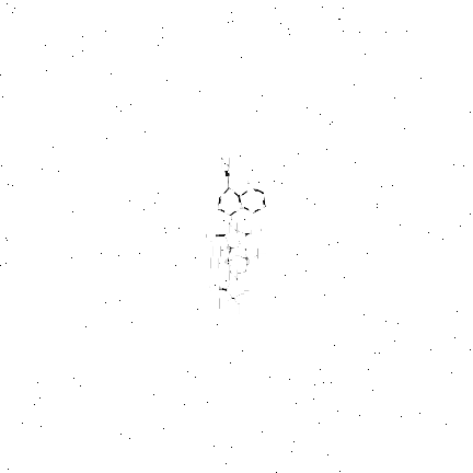 N#Cc1ccc(N2C(=O)[C@H]3[C@H]4C[C@@H](CN4C(=O)C(F)(F)F)N3C2=O)c2cccnc12